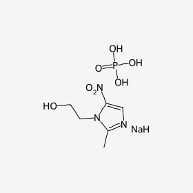 Cc1ncc([N+](=O)[O-])n1CCO.O=P(O)(O)O.[NaH]